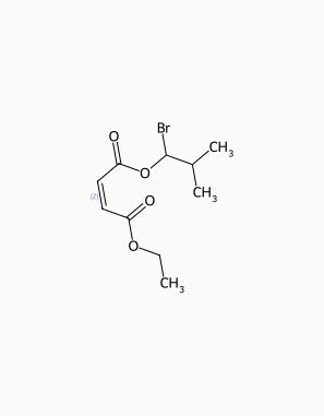 CCOC(=O)/C=C\C(=O)OC(Br)C(C)C